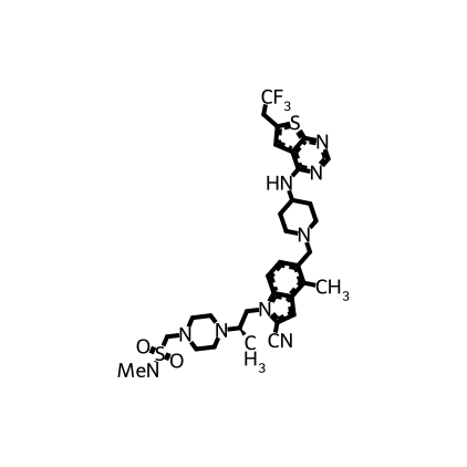 CNS(=O)(=O)CN1CCN([C@H](C)Cn2c(C#N)cc3c(C)c(CN4CCC(Nc5ncnc6sc(CC(F)(F)F)cc56)CC4)ccc32)CC1